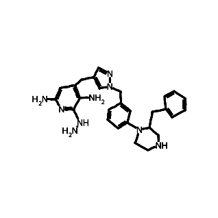 NNc1nc(N)cc(Cc2cnn(Cc3cccc(N4CCNCC4Cc4ccccc4)c3)c2)c1N